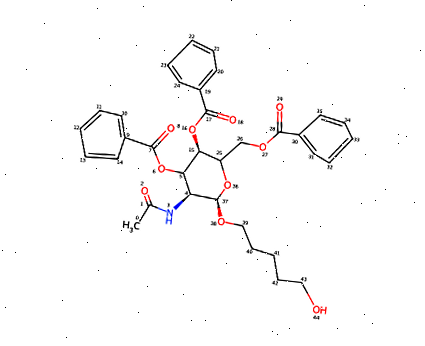 CC(=O)N[C@H]1C(OC(=O)c2ccccc2)[C@@H](OC(=O)c2ccccc2)C(COC(=O)c2ccccc2)O[C@H]1OCCCCCO